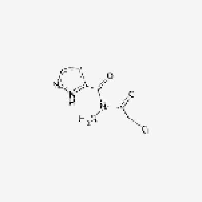 NN(C(=O)CCl)C(=O)c1ccn[nH]1